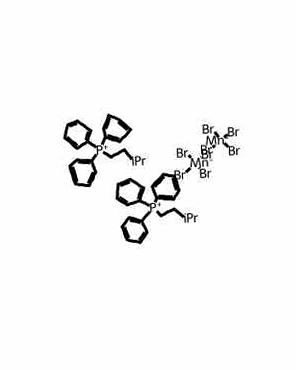 CC(C)CC[P+](c1ccccc1)(c1ccccc1)c1ccccc1.CC(C)CC[P+](c1ccccc1)(c1ccccc1)c1ccccc1.[Br][Mn-]([Br])([Br])[Br].[Br][Mn-]([Br])([Br])[Br]